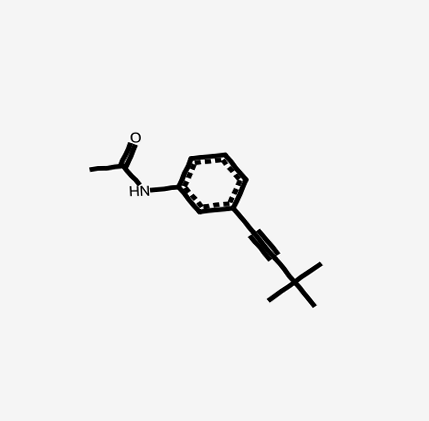 CC(=O)Nc1cccc(C#CC(C)(C)C)c1